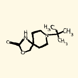 CC(C)(C)N1CCC2(CC1)COC(=O)N2